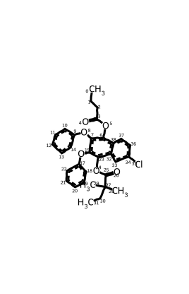 CCCC(=O)Oc1c(Oc2ccccc2)c(Oc2ccccc2)c(OC(=O)C(C)(C)CC)c2cc(Cl)ccc12